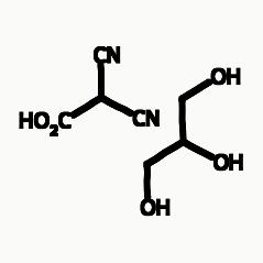 N#CC(C#N)C(=O)O.OCC(O)CO